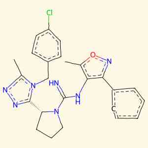 Cc1onc(-c2ccccc2)c1NC(=N)N1CCC[C@@H]1c1nnc(C)n1Cc1ccc(Cl)cc1